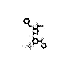 CS(=O)(=O)Oc1cc(Nc2ncc(C(N)=O)c(NCc3ccccc3)n2)cc(C(=O)N2CCCC2)c1